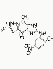 COc1cnc(Nc2cc([N+](=O)[O-])ccc2C)nc1Nc1cc(C)[nH]n1